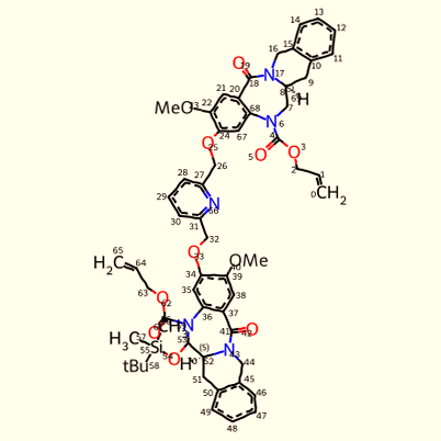 C=CCOC(=O)N1C[C@@H]2Cc3ccccc3CN2C(=O)c2cc(OC)c(OCc3cccc(COc4cc5c(cc4OC)C(=O)N4Cc6ccccc6C[C@H]4C(O[Si](C)(C)C(C)(C)C)N5C(=O)OCC=C)n3)cc21